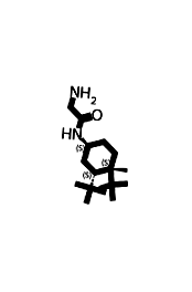 CC(C)(C)[C@@H]1C[C@@H](NC(=O)CN)CC[C@]1(C)C(C)(C)C